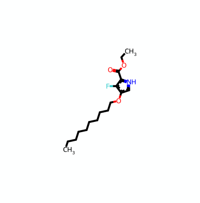 CCCCCCCCCCOc1c[nH]c(C(=O)OCC)c1F